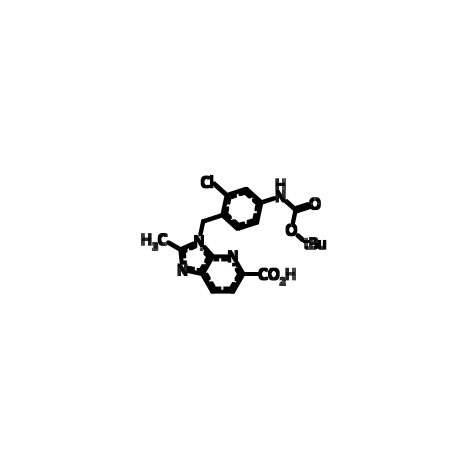 Cc1nc2ccc(C(=O)O)nc2n1Cc1ccc(NC(=O)OC(C)(C)C)cc1Cl